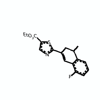 CCOC(=O)c1cnc(C2=Cc3c(F)cccc3C(C)C2)s1